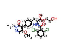 COc1cnn(C)c(=O)c1-c1ccc(C[C@H](NC(=O)c2c(Cl)cccc2Cl)C(=O)OCCO)cc1